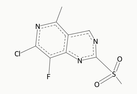 Cc1nc(Cl)c(F)c2nc(S(C)(=O)=O)ncc12